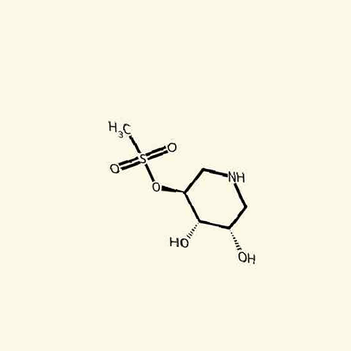 CS(=O)(=O)O[C@H]1CNC[C@H](O)[C@@H]1O